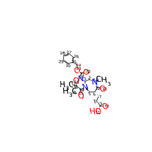 CN1CC2N(C[C@@H](CCC(=O)O)C1=O)C(=O)C(C)(C)ON2C(=O)OCc1ccccc1